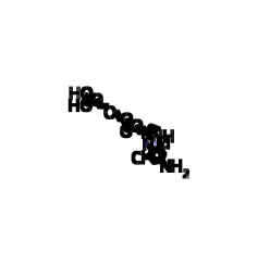 Nc1cc(Cl)c(/N=C2\NCCN2COC(=O)OCCOCCON(O)O)c(Cl)c1